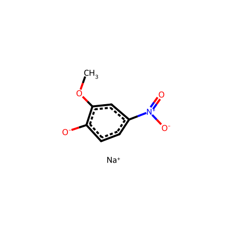 COc1cc([N+](=O)[O-])ccc1[O-].[Na+]